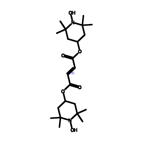 CC1(C)CC(OC(=O)/C=C/C(=O)OC2CC(C)(C)N(O)C(C)(C)C2)CC(C)(C)N1O